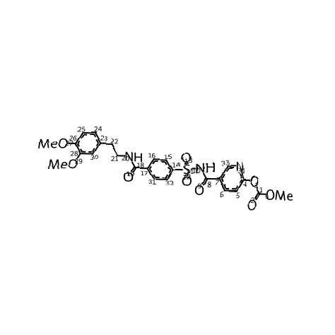 COC(=O)Oc1ccc(C(=O)NS(=O)(=O)c2ccc(C(=O)NCCc3ccc(OC)c(OC)c3)cc2)cn1